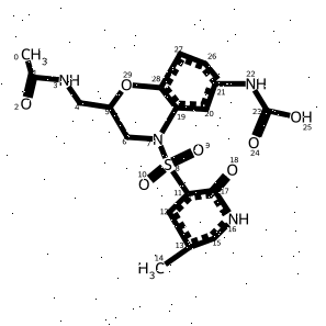 CC(=O)NCC1CN(S(=O)(=O)c2cc(C)c[nH]c2=O)c2cc(NC(=O)O)ccc2O1